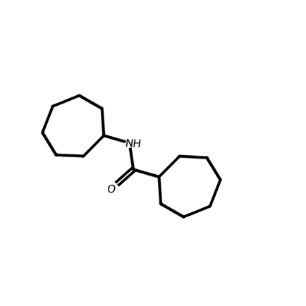 O=C(NC1CCCCCC1)C1CCCCCC1